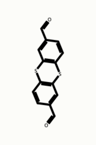 O=Cc1ccc2c(c1)Sc1ccc(C=O)cc1S2